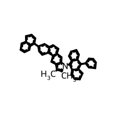 Cc1c(C)n(-c2c3ccccc3c(-c3ccccc3)c3ccccc23)c2cc3ccc4cc(-c5cccc6ccccc56)ccc4c3cc12